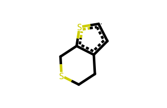 [c]1cc2c(s1)CSCC2